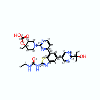 CCNC(=O)Nc1nc2cc(-c3cnc(C(C)(C)O)nc3)cc(-c3ccnc(N4CCC(C)(OC(=O)O)CC4)n3)c2s1